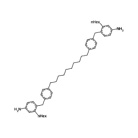 CCCCCCc1cc(N)ccc1Cc1ccc(CCCCCCCCCCc2ccc(Cc3ccc(N)cc3CCCCCC)cc2)cc1